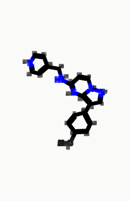 COc1ccc(-c2cnn3ccc(NCc4ccncc4)nc23)cc1